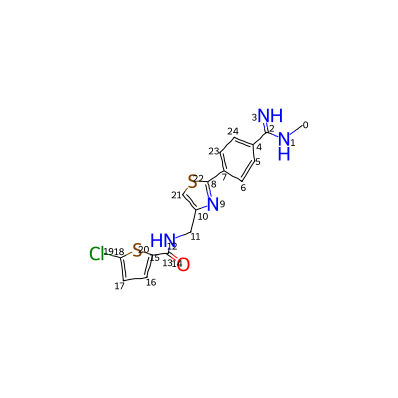 CNC(=N)c1ccc(-c2nc(CNC(=O)c3ccc(Cl)s3)cs2)cc1